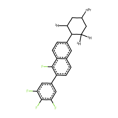 [2H]C1CC(CCC)CC([2H])([2H])C1c1ccc2c(F)c(-c3cc(F)c(F)c(F)c3)ccc2c1